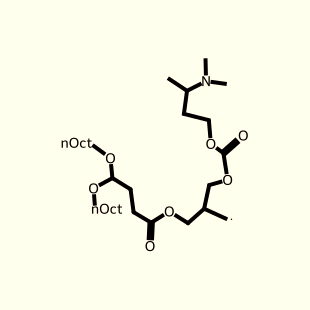 [CH2]C(COC(=O)CCC(OCCCCCCCC)OCCCCCCCC)COC(=O)OCCC(C)N(C)C